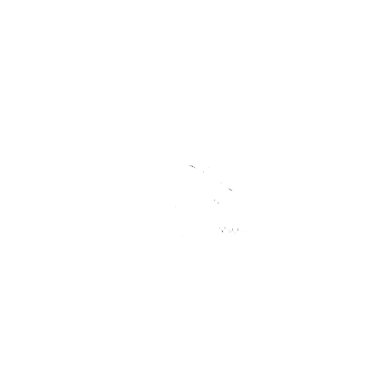 COC(=O)N1[C@H]2CCCC[C@H]2CC1(Sc1ccccc1)C(=O)OC